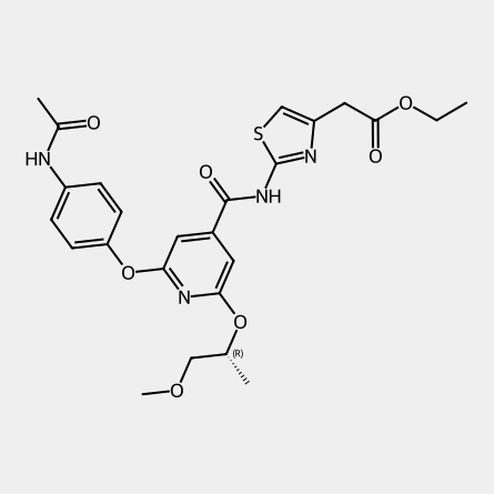 CCOC(=O)Cc1csc(NC(=O)c2cc(Oc3ccc(NC(C)=O)cc3)nc(O[C@H](C)COC)c2)n1